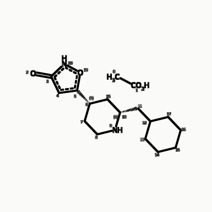 CC(=O)O.O=c1cc([C@H]2CCN[C@@H](CC3CCCCC3)C2)o[nH]1